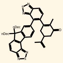 C=C(C)C1CC(=O)C(C)=C(c2ccc3nsnc3c2-c2ccc3c(c2)C(CCCCCCCCCC)(CCCCCCCCCC)c2ccc4nsnc4c2-3)C1